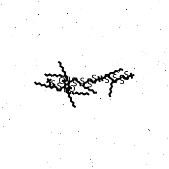 CCCCCCCCC(CCCCCC)CN1C(=O)C2=C(c3ccc(-c4cc(CCCCCC)c(C(C)(C)C)s4)s3)N(CC(CCCCCC)CCCCCCCC)C(=O)C2=C1c1ccc(-c2cc(CCCCCC)c(-c3cc4sc(C(C)(C)C(C)(C)c5cc(CCCCCC)c(-c6sc(-c7cc8sc(C(C)(C)C)cc8s7)cc6CCCCCC)s5)cc4s3)s2)s1